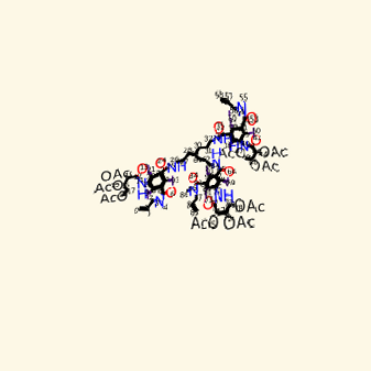 C=CCN(C)C(=O)c1c(I)c(NC(=O)C(OC(C)=O)C(COC(C)=O)OC(C)=O)c(I)c(C(=O)NCCCC(CCCNC(=O)c2c(I)c(NC(=O)C(OC(C)=O)C(COC(C)=O)OC(C)=O)c(I)c(C(=O)N(C)CC=C)c2I)CCCNC(=O)c2c(I)c(NC(=O)C(OC(C)=O)C(COC(C)=O)OC(C)=O)c(I)c(C(=O)N(C)CC=C)c2I)c1I